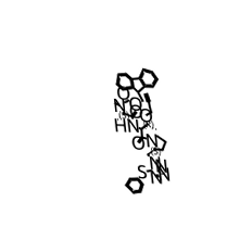 C#CCO[C@H](C)C(NC(=O)[C@H](C)N(C)C(=O)OCC1c2ccccc2-c2ccccc21)C(=O)N1CCC[C@H]1Cn1nnnc1Sc1ccccc1